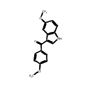 COc1ccc(C(=O)c2c[nH]c3ccc(OC)cc23)cc1